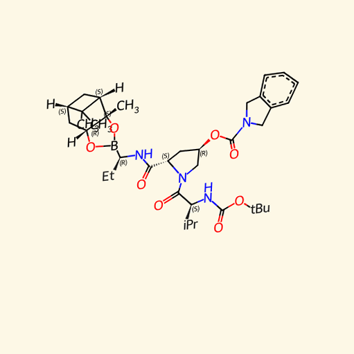 CC[C@H](NC(=O)[C@@H]1C[C@@H](OC(=O)N2Cc3ccccc3C2)CN1C(=O)[C@@H](NC(=O)OC(C)(C)C)C(C)C)B1O[C@@H]2C[C@@H]3C[C@@H](C3(C)C)[C@]2(C)O1